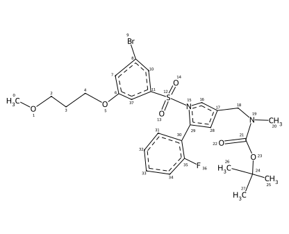 COCCCOc1cc(Br)cc(S(=O)(=O)n2cc(CN(C)C(=O)OC(C)(C)C)cc2-c2ccccc2F)c1